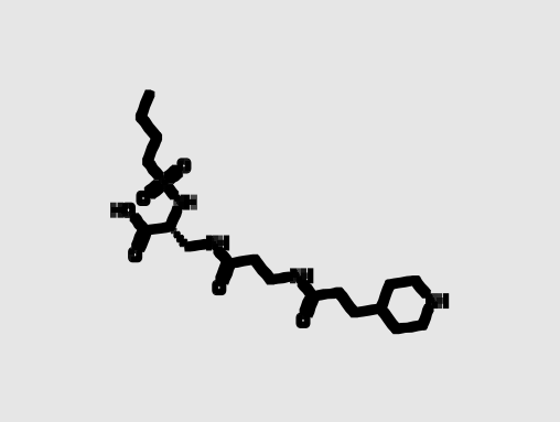 CCCCS(=O)(=O)N[C@H](CNC(=O)CCNC(=O)CCC1CCNCC1)C(=O)O